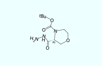 CC(C)(C)OC(=O)N1CCOC[C@@H]1C(=O)NN